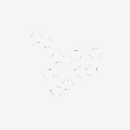 c1ccc(-c2ccc(-c3nc(-c4ccc5ccccc5c4)nc(-c4ccc5oc6ccccc6c5c4C4CCc5cc6ccccc6cc5-c5ccccc54)n3)cc2)cc1